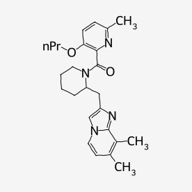 CCCOc1ccc(C)nc1C(=O)N1CCCCC1Cc1cn2ccc(C)c(C)c2n1